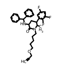 C#CCOCCCCCN1C(=O)C(NC(c2ccccc2)c2ccccc2)CC(c2cc(F)cc(F)c2F)C1C